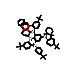 CC(C)(C)c1ccc(N2c3ccc(C(C)(C)C)cc3B3c4ccc5c(sc6ccccc65)c4N(c4ccc(C(C)(C)C)cc4-c4ccccc4)c4cc(N5c6ccc(C(C)(C)C)cc6C6(C)CCCCC56C)cc2c43)cc1